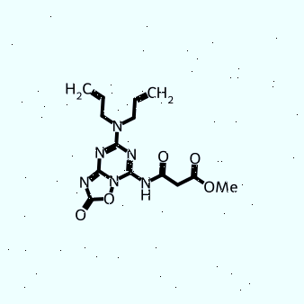 C=CCN(CC=C)c1nc(NC(=O)CC(=O)OC)n2oc(=O)nc2n1